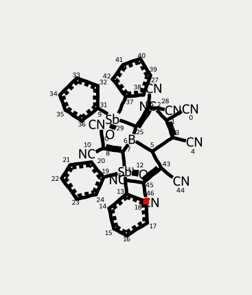 N#CC(C#N)=C(C#N)C(B([C](=C(C#N)C#N)[Sb](=[O])([c]1ccccc1)[c]1ccccc1)[C](=C(C#N)C#N)[Sb](=[O])([c]1ccccc1)[c]1ccccc1)C(C#N)=C(C#N)C#N